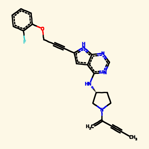 C=C(C#CC)N1CC[C@@H](Nc2ncnc3[nH]c(C#CCOc4ccccc4F)cc23)C1